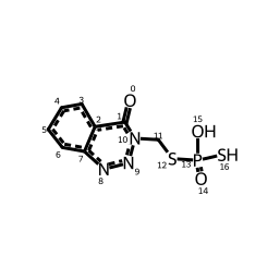 O=c1c2ccccc2nnn1CSP(=O)(O)S